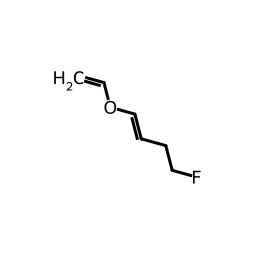 C=COC=CCCF